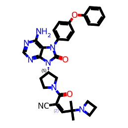 CC(C)(/C=C(/C#N)C(=O)N1CC[C@H](n2c(=O)n(-c3ccc(Oc4ccccc4)cc3)c3c(N)ncnc32)C1)N1CCC1